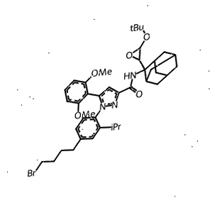 COc1cccc(OC)c1-c1cc(C(=O)NC2(C3OC3OC(C)(C)C)C3CC4CC(C3)CC2C4)nn1-c1ccc(CCCCBr)cc1C(C)C